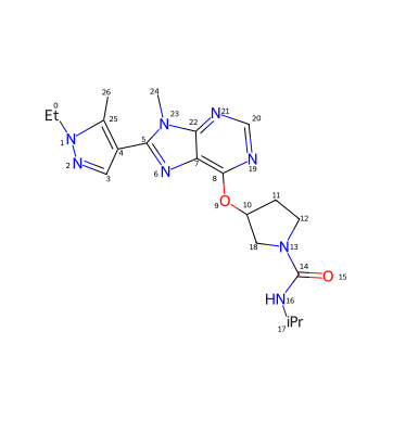 CCn1ncc(-c2nc3c(OC4CCN(C(=O)NC(C)C)C4)ncnc3n2C)c1C